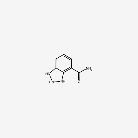 NC(=O)C1=C2NNNC2CC=C1